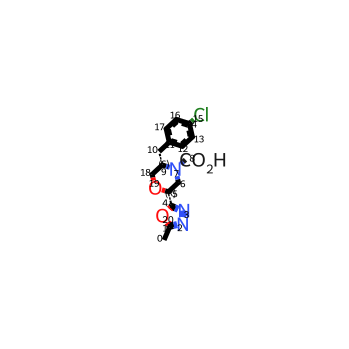 Cc1nnc([C@H]2CN(C(=O)O)[C@@H](Cc3ccc(Cl)cc3)CO2)o1